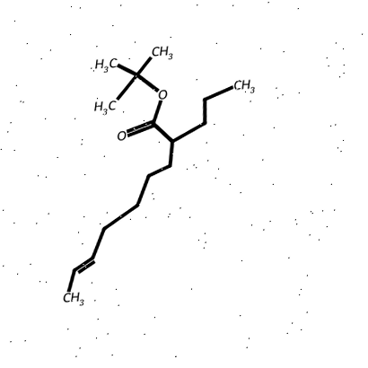 CC=CCCCCC(CCC)C(=O)OC(C)(C)C